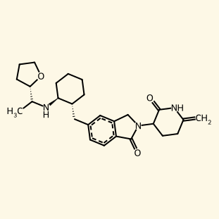 C=C1CCC(N2Cc3cc(C[C@H]4CCCC[C@@H]4NC(C)[C@@H]4CCCO4)ccc3C2=O)C(=O)N1